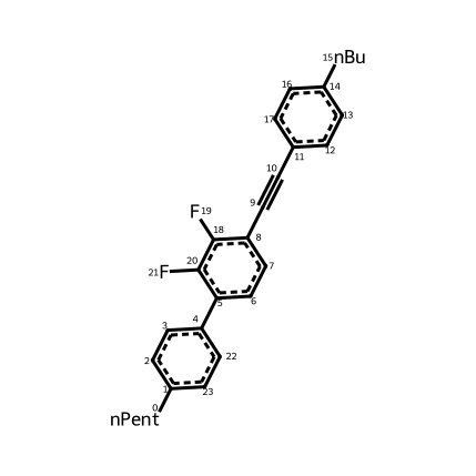 CCCCCc1ccc(-c2ccc(C#Cc3ccc(CCCC)cc3)c(F)c2F)cc1